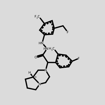 Cc1cc(F)ccc1C(C(=O)NNc1cc(CF)cc(C(F)(F)F)c1)N1CCN2CCC[C@@H]2C1